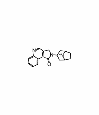 CN1C2CCC1CC(N1Cc3cnc4ccccc4c3C1=O)C2